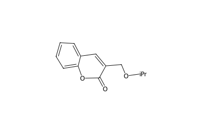 CC(C)OCc1cc2ccccc2oc1=O